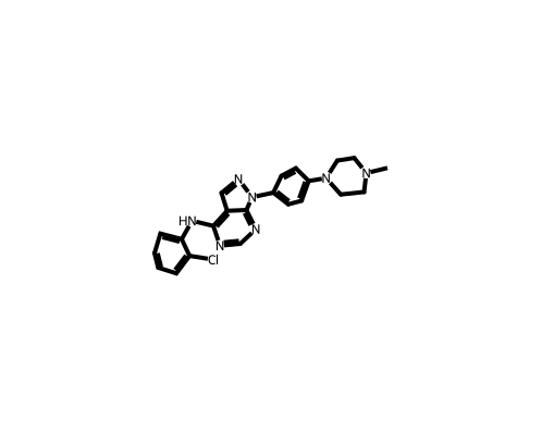 CN1CCN(c2ccc(-n3ncc4c(Nc5ccccc5Cl)ncnc43)cc2)CC1